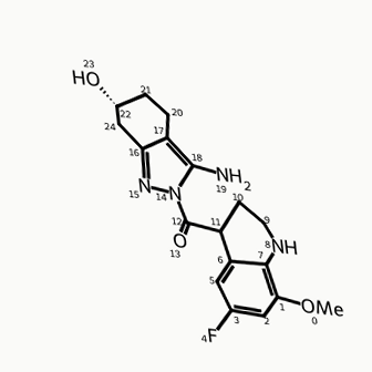 COc1cc(F)cc2c1NCCC2C(=O)n1nc2c(c1N)CC[C@@H](O)C2